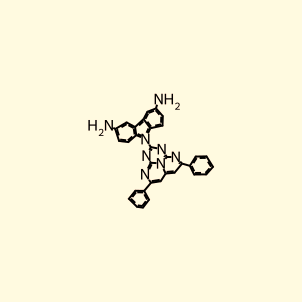 Nc1ccc2c(c1)c1cc(N)ccc1n2C1=NC2=NC(c3ccccc3)=CC3=CC(c4ccccc4)=NC(=N1)N32